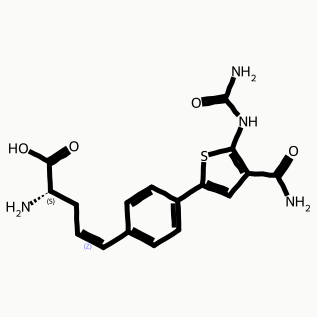 NC(=O)Nc1sc(-c2ccc(/C=C\C[C@H](N)C(=O)O)cc2)cc1C(N)=O